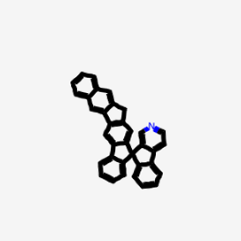 c1ccc2c(c1)-c1ccncc1C21c2ccccc2-c2cc3c(cc21)Cc1cc2ccccc2cc1-3